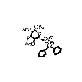 CC(=O)OC1O[C@H](COP(=O)(OCc2ccccc2)OCc2ccccc2)[C@@H](OC(C)=O)[C@H](F)[C@@H]1OC(C)=O